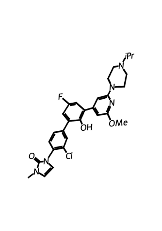 COc1cc(-c2cc(F)cc(-c3ccc(-n4ccn(C)c4=O)c(Cl)c3)c2O)cc(N2CCN(C(C)C)CC2)n1